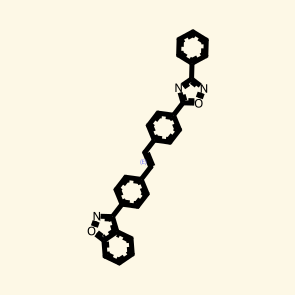 C(=C\c1ccc(-c2noc3ccccc23)cc1)/c1ccc(-c2nc(-c3ccccc3)no2)cc1